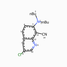 CCCCN(CCCC)c1ccc2cc(Cl)cnc2c1C#N